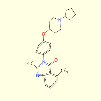 Cc1nc2cccc(C(F)(F)F)c2c(=O)n1-c1ccc(OC2CCN(C3CCCC3)CC2)cc1